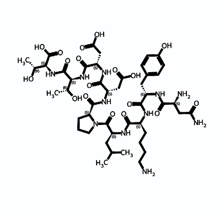 CC(C)C[C@H](NC(=O)[C@H](CCCCN)NC(=O)[C@H](Cc1ccc(O)cc1)NC(=O)[C@@H](N)CC(N)=O)C(=O)N1CCC[C@H]1C(=O)N[C@@H](CC(=O)O)C(=O)N[C@@H](CC(=O)O)C(=O)N[C@H](C(=O)N[C@H](C(=O)O)[C@@H](C)O)[C@@H](C)O